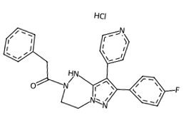 Cl.O=C(Cc1ccccc1)N1CCn2nc(-c3ccc(F)cc3)c(-c3ccncc3)c2N1